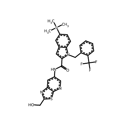 C[Si](C)(C)c1ccc2c(c1)cc(C(=O)Nc1cnc3sc(CO)nc3c1)n2Cc1ccccc1C(F)(F)F